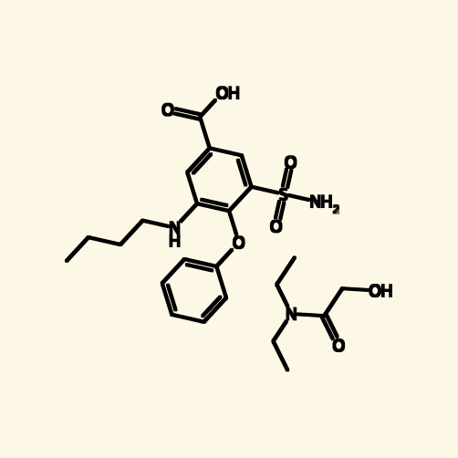 CCCCNc1cc(C(=O)O)cc(S(N)(=O)=O)c1Oc1ccccc1.CCN(CC)C(=O)CO